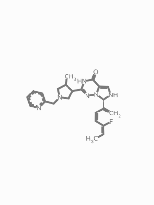 C=C(/C=C\C(F)=C/C)[C@@H]1NC=C2C(=O)NC(C3CN(Cc4ccccn4)CC3C)=NN21